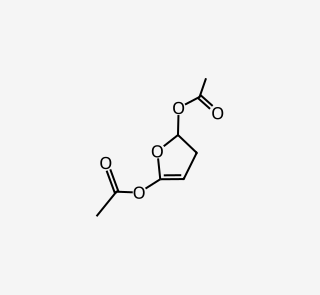 CC(=O)OC1=CCC(OC(C)=O)O1